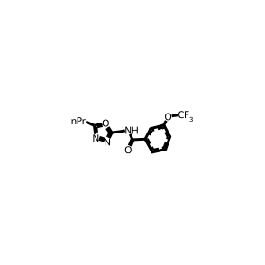 CCCc1nnc(NC(=O)c2cccc(OC(F)(F)F)c2)o1